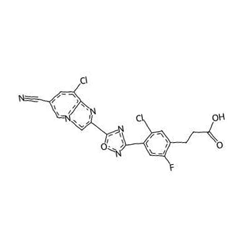 N#Cc1cc(Cl)c2nc(-c3nc(-c4cc(F)c(CCC(=O)O)cc4Cl)no3)cn2c1